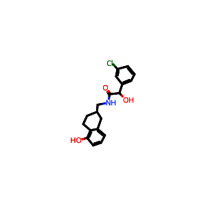 O=C(NCC1CCc2c(O)cccc2C1)C(O)c1cccc(Cl)c1